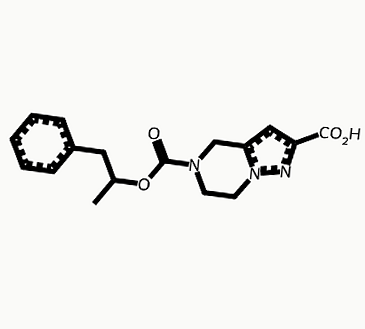 CC(Cc1ccccc1)OC(=O)N1CCn2nc(C(=O)O)cc2C1